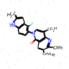 COc1cc2c(=O)n(-c3ccc4[nH]c(C)cc4c3F)cc(C(=O)O)c2nc1OC